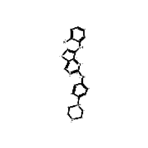 CC(C)c1ccccc1Nc1csc2cnc(Nc3ccc(N4CCOCC4)cc3)nc12